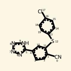 N#Cc1ccc(-c2nnn[nH]2)cc1Sc1ccc(Cl)cc1